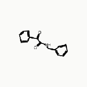 O=C(NCc1ccccc1)C(=O)c1ccccc1